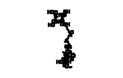 CCC1CC2CCC(NC(=O)c3cc(-c4c(OC)cccc4OC)n(-c4ccc(C(=O)N(C)CCCN(C)CCCN(C)C(=O)CCCCCNC(=O)CN5CCN(CC(=O)O)CCN(CC(=O)O)CCN(CC(=O)O)CC5)cc4C(C)C)n3)(C(=O)O)C(C1)C2